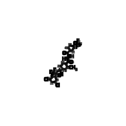 Cc1cc(C2=NOC(c3cc(Cl)cc(Cl)c3)(C(F)(F)F)C2)ccc1C(=O)NNC(=O)c1ccc(OC(F)(F)F)cc1